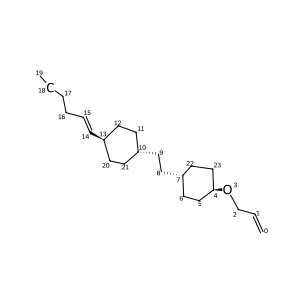 C=CCO[C@H]1CC[C@H](CC[C@H]2CC[C@H](/C=C/CCCC)CC2)CC1